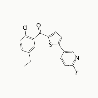 CCc1ccc(Cl)c(C(=O)c2ccc(-c3ccc(F)nc3)s2)c1